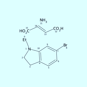 CCN1CCc2ccc(Br)cc21.N.O=C(O)C=CC(=O)O